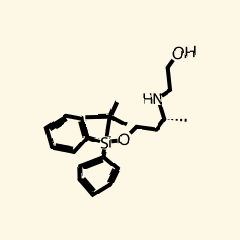 C[C@H](CCO[Si](c1ccccc1)(c1ccccc1)C(C)(C)C)NCCO